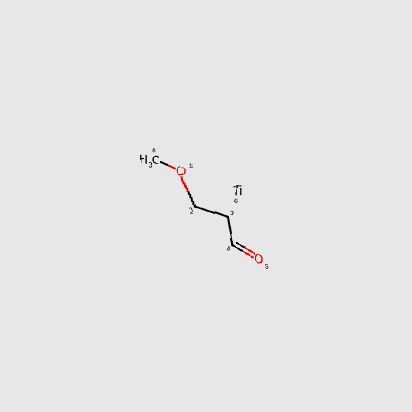 COCCC=O.[Ti]